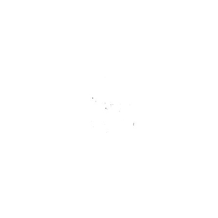 O=C(OCc1ccccc1)N1CCC[C@@H]1[C@H](O)[C@@H](c1ccc(F)cc1)c1cccc(C(F)(F)F)c1